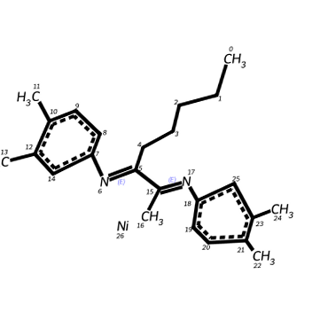 CCCCCC(=N\c1ccc(C)c(C)c1)/C(C)=N/c1ccc(C)c(C)c1.[Ni]